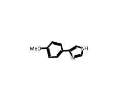 COc1ccc(-c2c[nH][c]n2)cc1